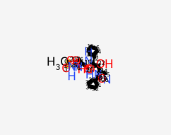 CS(=O)(=O)Nc1nc(C(=O)N[C@@H](Cc2ccccc2)[C@@H](O)[C@H](O)[C@@H](CC#N)NC(=O)c2ccccc2)co1